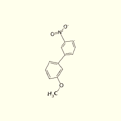 COc1cccc(-c2cc[c]c([N+](=O)[O-])c2)c1